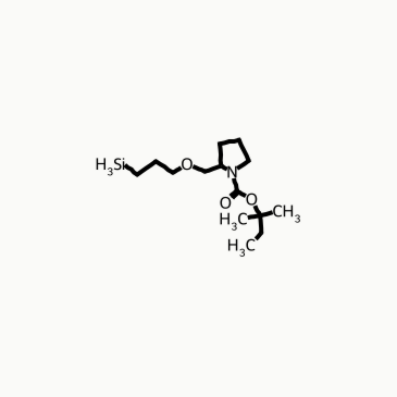 CCC(C)(C)OC(=O)N1CCCC1COCCC[SiH3]